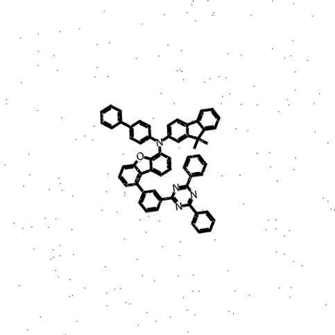 CC1(C)c2ccccc2-c2ccc(N(c3ccc(-c4ccccc4)cc3)c3cccc4c3oc3cccc(-c5cccc(-c6nc(-c7ccccc7)nc(-c7ccccc7)n6)c5)c34)cc21